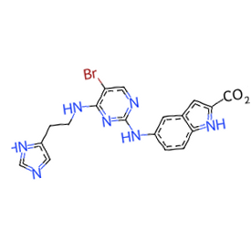 O=C(O)c1cc2cc(Nc3ncc(Br)c(NCCc4cnc[nH]4)n3)ccc2[nH]1